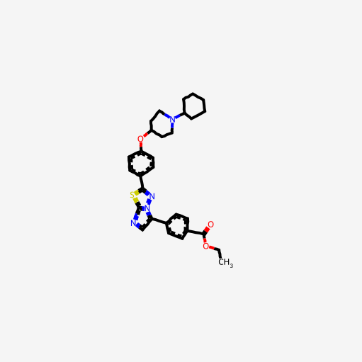 CCOC(=O)c1ccc(-c2cnc3sc(-c4ccc(OC5CCN(C6CCCCC6)CC5)cc4)nn23)cc1